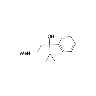 CNCCC(O)(c1ccccc1)C1CC1